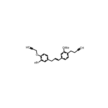 C#CCCc1ccc(/C=C/Cc2ccc(OCC#C)c(CCC)c2)cc1OC